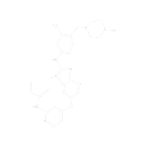 C=CC(=O)Nc1cc(Oc2ccc3nc(Nc4ccc(CN5CCN(CC)CC5)c(C(F)(F)F)c4)n(C)c3c2)ccn1